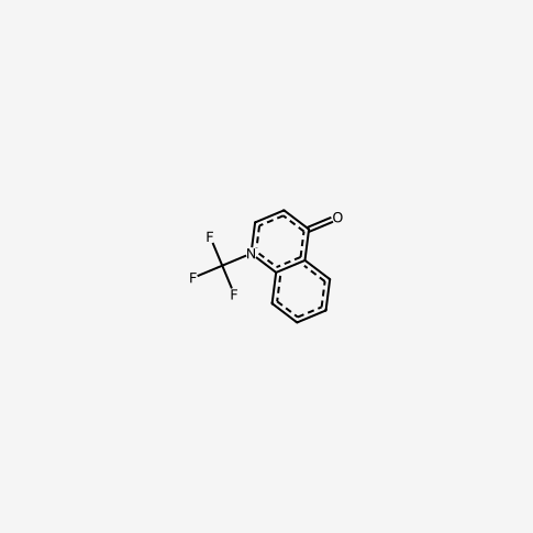 O=c1ccn(C(F)(F)F)c2ccccc12